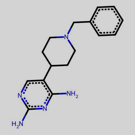 Nc1ncc(C2CCN(Cc3ccccc3)CC2)c(N)n1